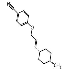 C[C@H]1CC[C@H](/C=C/COc2ccc(C#N)cc2)CC1